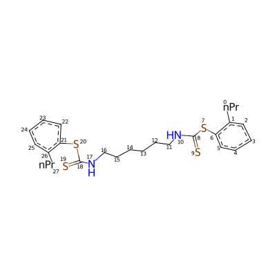 CCCc1ccccc1SC(=S)NCCCCCCNC(=S)Sc1ccccc1CCC